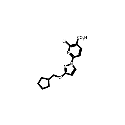 O=C(O)c1ccc(-n2ccc(OCC3CCCC3)n2)nc1Cl